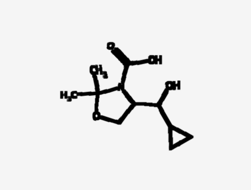 CC1(C)OCC(C(O)C2CC2)N1C(=O)O